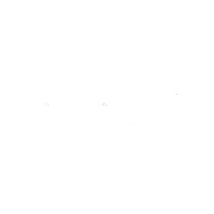 CN(C)Cc1cc(NC(O)c2cc([N+](=O)[O-])cc(C(F)(F)F)c2)cc(C(F)(F)F)c1